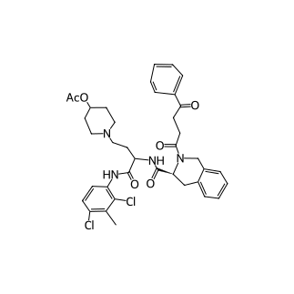 CC(=O)OC1CCN(CCC(NC(=O)[C@@H]2Cc3ccccc3CN2C(=O)CCC(=O)c2ccccc2)C(=O)Nc2ccc(Cl)c(C)c2Cl)CC1